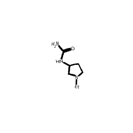 CCN1CCC(NC(N)=O)C1